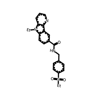 CCn1c2ccc(C(=O)NCc3ccc(S(=O)(=O)CC)cc3)cc2c2ncccc21